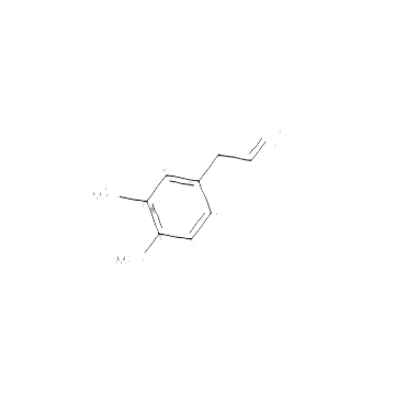 C=CCc1ccc(OC)c(SC)c1